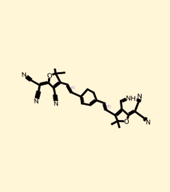 CC1(C)OC(=C(C#N)C#N)C(C#N)=C1/C=C/C1=CC=C(/C=C/C2=C(C=N)C(=C(C#N)C#N)OC2(C)C)CC1